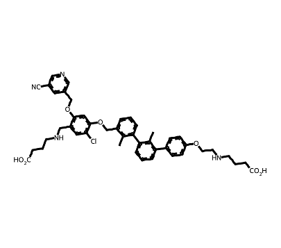 Cc1c(COc2cc(OCc3cncc(C#N)c3)c(CNCCCC(=O)O)cc2Cl)cccc1-c1cccc(-c2ccc(OCCNCCCC(=O)O)cc2)c1C